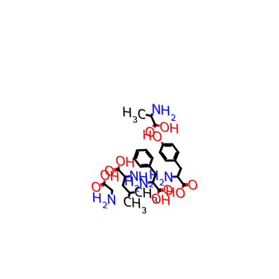 CC(C)CC(N)C(=O)O.CC(N)C(=O)O.NC(Cc1ccc(O)cc1)C(=O)O.NC(Cc1ccccc1)C(=O)O.NCC(=O)O